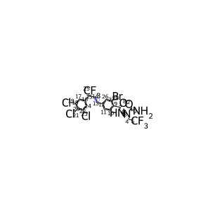 NC(=O)N(CC(F)(F)F)NC(=O)c1ccc(/C=C/C(c2cc(Cl)c(Cl)c(Cl)c2)C(F)(F)F)cc1Br